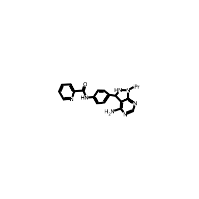 CC(C)N1NC(c2ccc(NC(=O)c3ccccn3)cc2)c2c(N)ncnc21